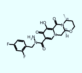 C[C@@H]1CCO[C@H]2Cn3cc(C(=O)N(N)Cc4ccc(F)cc4F)c(=O)c(O)c3C(=O)N12